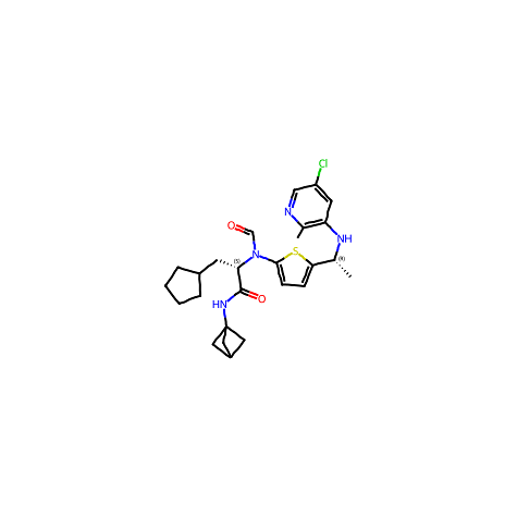 Cc1ncc(Cl)cc1N[C@H](C)c1ccc(N(C=O)[C@@H](CC2CCCC2)C(=O)NC23CC(C2)C3)s1